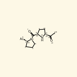 CC(=O)[C@@H]1CCCN1C(=O)[C@H]1CC[C@@H](C(=O)I)N1